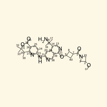 COC1CN(C(=O)C2CC(Oc3ncc(C(C)(C)N)c4cc(Nc5ccc6c(n5)C(C)C(C)(C)OC6=O)ncc34)C2)C1